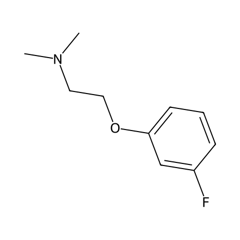 CN(C)CCOc1cccc(F)c1